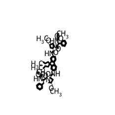 CCCCC1(CCCC)c2cc(NC(=O)[C@@H]3C[C@H](COC)CN3C(=O)[C@@H](Cc3ccccc3)NC(=O)OC)ccc2-c2ccc(NC(=O)[C@@H]3C[C@H](COC)CN3C(=O)[C@H](NC(=O)OC)c3ccccc3)cc21